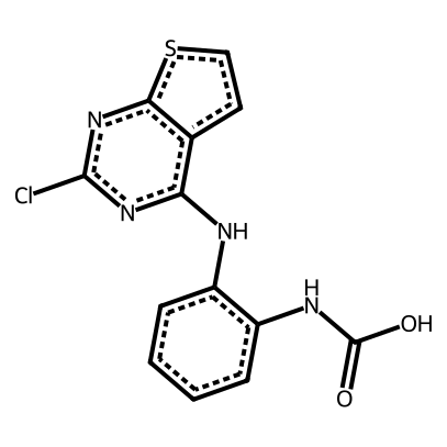 O=C(O)Nc1ccccc1Nc1nc(Cl)nc2sccc12